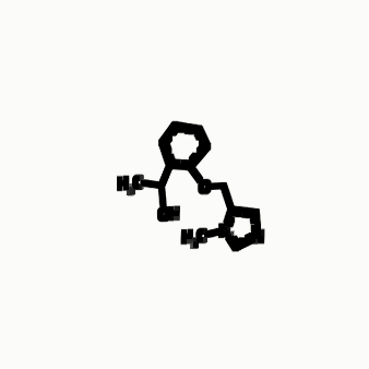 CC(O)c1ccccc1OCc1cncn1C